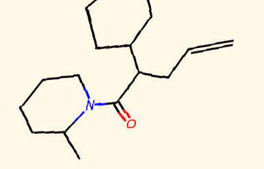 C=CCC(C(=O)N1CCCCC1C)C1CCCCC1